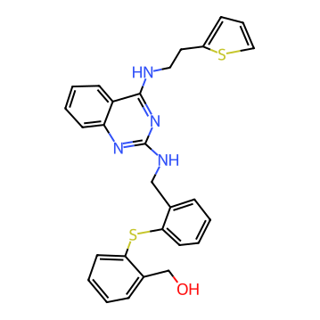 OCc1ccccc1Sc1ccccc1CNc1nc(NCCc2cccs2)c2ccccc2n1